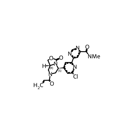 C=CC(=O)N1C[C@@H]2COC(=O)N2[C@@H](c2cc(Cl)nc(-c3cc(C(=O)NC)ncn3)c2)C1